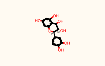 Oc1cc(O)c2c(c1)O[C@H](c1ccc(O)c(O)c1)[C@@H](O)C2O